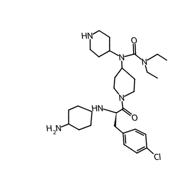 CCN(CC)C(=O)N(C1CCNCC1)C1CCN(C(=O)[C@@H](Cc2ccc(Cl)cc2)NC2CCC(N)CC2)CC1